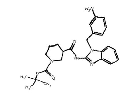 CC(C)(C)OC(=O)N1CCCC(C(=O)Nc2nc3ccccc3n2Cc2cccc(N)c2)C1